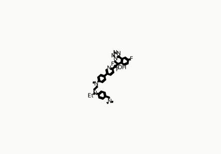 CCN(CCN(C)c1ccc(-c2ccc(C(F)(F)[C@]3(O)Cn4nnnc4-c4cc(F)ccc43)nc2)cc1)c1ccc(CN(C)C)cc1